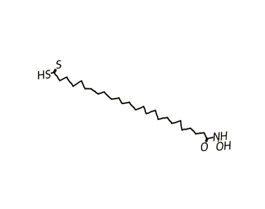 O=C(CCCCCCCCCCCCCCCCCCCCCCCCC(=S)S)NO